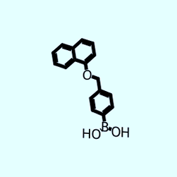 OB(O)c1ccc(COc2cccc3ccccc23)cc1